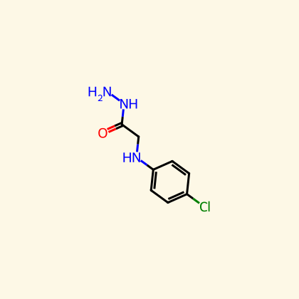 NNC(=O)CNc1ccc(Cl)cc1